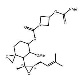 CNC(=O)OC1CN(C(=O)OC2CCC3(CO3)C([C@@]3(C)O[C@@H]3CC=C(C)C)C2OC)C1